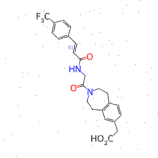 O=C(O)Cc1ccc2c(c1)CCN(C(=O)CNC(=O)/C=C/c1ccc(C(F)(F)F)cc1)CC2